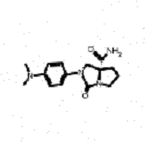 CN(C)c1ccc(N2C[C@@]3(C(N)=O)[CH]CCN3C2=O)cc1